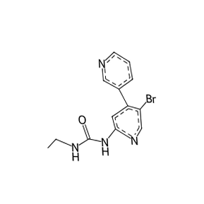 CCNC(=O)Nc1cc(-c2cccnc2)c(Br)cn1